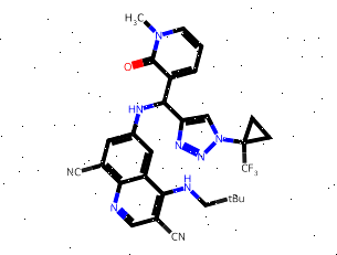 Cn1cccc(C(Nc2cc(C#N)c3ncc(C#N)c(NCC(C)(C)C)c3c2)c2cn(C3(C(F)(F)F)CC3)nn2)c1=O